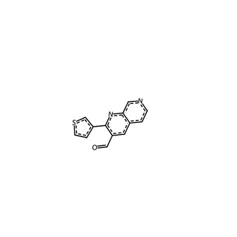 O=Cc1cc2ccncc2nc1-c1ccsc1